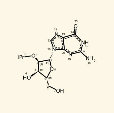 CC(C)O[C@@H]1[C@H](O)[C@@H](CO)O[C@H]1n1cnc2c(=O)[nH]c(N)nc21